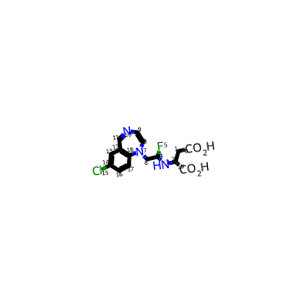 O=C(O)CC(NC(F)CN1C=CN=Cc2cc(Cl)ccc21)C(=O)O